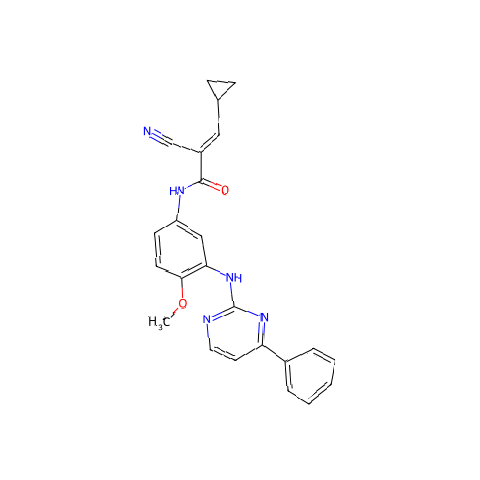 COc1ccc(NC(=O)C(C#N)=CC2CC2)cc1Nc1nccc(-c2ccccc2)n1